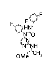 COCC(C)Nc1nccc(N(C(=O)NCc2cc(F)ccc2F)c2ccc(F)cc2)n1